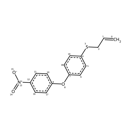 C=CCSc1ccc(Oc2ccc([N+](=O)[O-])cc2)cc1